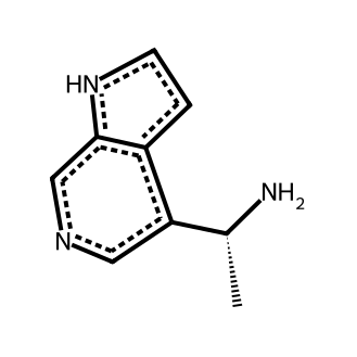 C[C@@H](N)c1cncc2[nH]ccc12